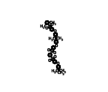 Cc1cccc(C)c1N1C(=O)c2ccc(Oc3ccc(C(C)(C)c4ccc(Oc5ccc6c(c5)C(=O)N(c5cccc(N7C(=O)c8ccc(Oc9ccc(C(C)(C)C)cc9)cc8C7=O)c5)C6=O)cc4)cc3)cc2C1=O